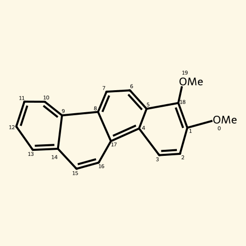 COc1ccc2c(ccc3c4ccccc4ccc23)c1OC